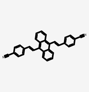 N#Cc1ccc(/C=C/c2c3ccccc3c(/C=C/c3ccc(C#N)cc3)c3ccccc23)cc1